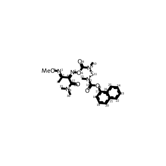 CON=C(C)C(=NOC(=O)N(C)SN(C)C(=O)Oc1cccc2ccccc12)C(=O)N(C)C